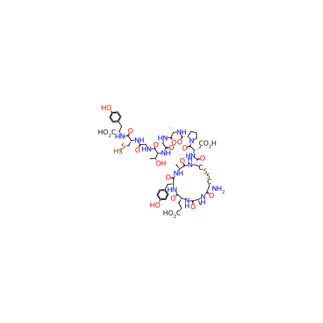 CC(O)[C@H](NC(=O)[C@H](C)NC(=O)[C@H](C)NC(=O)[C@@H]1CCCN1C(=O)[C@H](CC(=O)O)NC(=O)[C@@H]1CSSC[C@H](N)C(=O)N[C@@H](C)C(=O)N[C@@H](CCC(=O)O)C(=O)N[C@@H](Cc2ccc(O)cc2)C(=O)N[C@@H](C)C(=O)N1)C(=O)NCC(=O)N[C@@H](CSS)C(=O)N[C@@H](Cc1ccc(O)cc1)C(=O)O